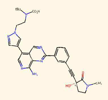 CN1CC[C@@](O)(C#Cc2cccc(-c3ncc4c(-c5cnn(CCN(C(=O)O)C(C)(C)C)c5)cnc(N)c4n3)c2)C1=O